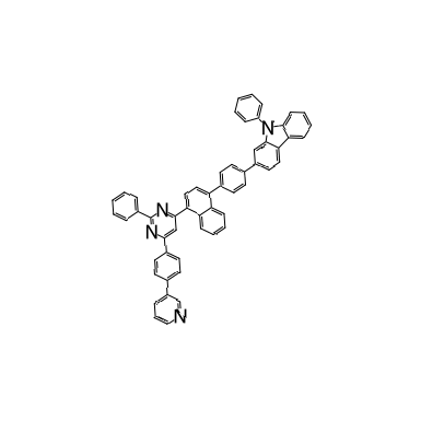 c1ccc(-c2nc(-c3ccc(-c4cccnc4)cc3)cc(-c3ccc(-c4ccc(-c5ccc6c7ccccc7n(-c7ccccc7)c6c5)cc4)c4ccccc34)n2)cc1